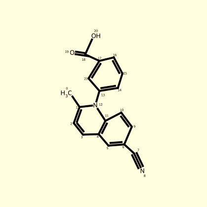 CC1=C=Cc2cc(C#N)ccc2N1c1cccc(C(=O)O)c1